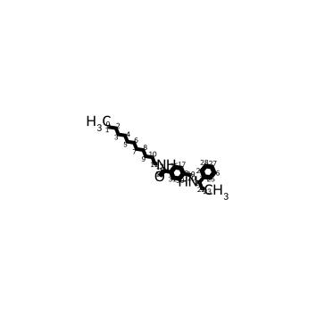 CCCCCCCCCCCCNC(=O)c1ccc(CNC(CC)c2ccccc2)cc1